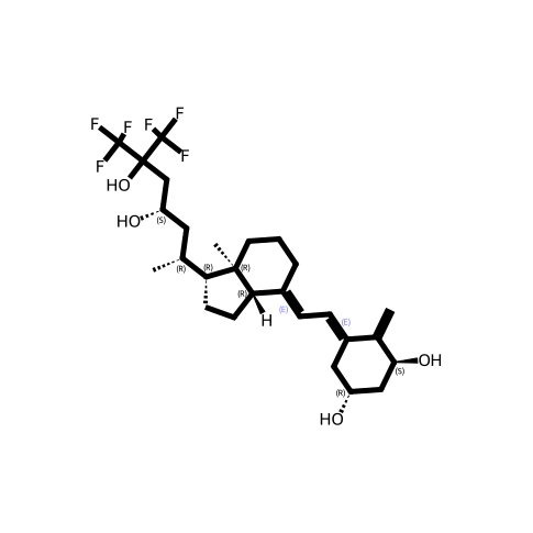 C=C1/C(=C/C=C2\CCC[C@]3(C)[C@@H]([C@H](C)C[C@H](O)CC(O)(C(F)(F)F)C(F)(F)F)CC[C@@H]23)C[C@@H](O)C[C@@H]1O